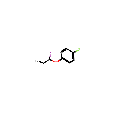 CCC(I)Oc1ccc(F)cc1